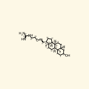 C[C@]12CC[C@H](O)C[C@H]1CC[C@@H]1[C@@H]2CC[C@]2(C)[C@@H](/C=N/OCCNC(=N)N)CC[C@@H]12